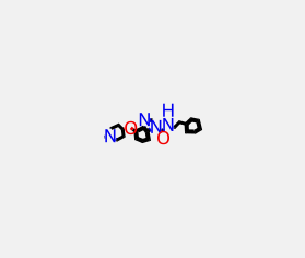 CN1CCC(Oc2cccc3c2ncn3C(=O)NCCc2ccccc2)CC1